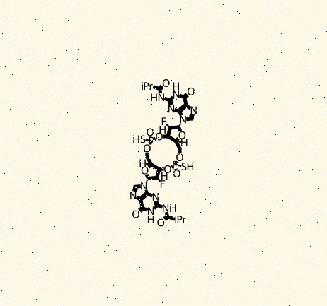 CC(C)C(=O)Nc1nc2c(ncn2[C@@H]2O[C@@H]3CO[P@@](=O)(S)O[C@H]4[C@@H](F)[C@H](n5cnc6c(=O)[nH]c(NC(=O)C(C)C)nc65)O[C@@H]4CO[P@@](=O)(S)O[C@H]3[C@H]2F)c(=O)[nH]1